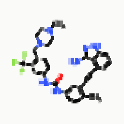 Cc1ccc(NC(=O)Nc2ccc(CN3CCN(C)CC3)c(C(F)(F)F)c2)cc1C#Cc1cccc2[nH]nc(N)c12